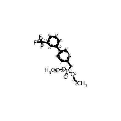 CCOP(=O)(Cc1ccc(-c2cccc(C(F)(F)F)c2)cn1)OCC